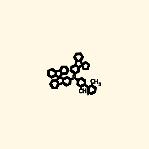 Cc1ccccc1-c1ccc(N(c2ccc3c(c2)C2(CCCC2)c2ccccc2-3)c2ccc3c(c2)C2(c4ccccc4-c4ccccc42)c2ccccc2-3)cc1C